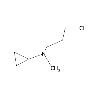 CN(CCCCl)C1CC1